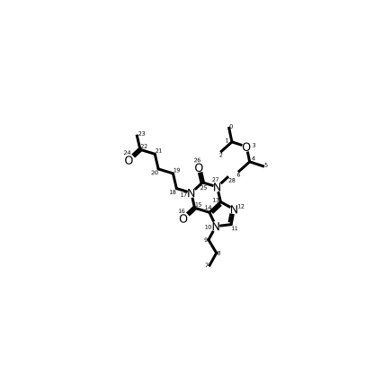 CC(C)OC(C)C.CCCn1cnc2c1c(=O)n(CCCCC(C)=O)c(=O)n2C